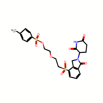 Cc1ccc(S(=O)(=O)OCCOCCS(=O)(=O)c2cccc3c2CN(C2CCC(=O)NC2=O)C3=O)cc1